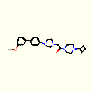 CC(C)Oc1cccc(-c2ccc(N3CCN(CC(=O)N4CCN(C5CCC5)CC4)CC3)cc2)c1